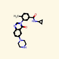 Cc1ccc(C(=O)NC2CC2)cc1-n1cnc2ccc(N3CCNCC3)cc2c1=O